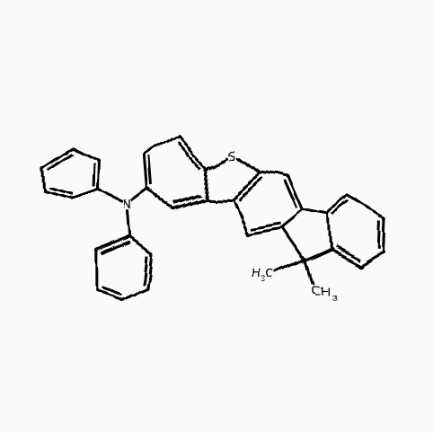 CC1(C)c2ccccc2-c2cc3sc4ccc(N(c5ccccc5)c5ccccc5)cc4c3cc21